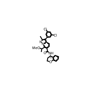 COC(C)c1c(C(=O)N[C@H]2CCOc3ccccc32)ccc2c(-c3cc(Cl)cc(Cl)c3)c(C)nn12